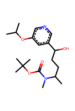 CC(C)Oc1cncc(C(O)CCC(C)N(C)C(=O)OC(C)(C)C)c1